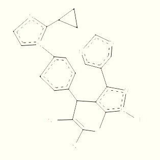 Cn1nc(-c2cncnc2)c2c1OC(N)=C(C#N)C2c1ccc(-n2ccnc2C2CC2)cc1